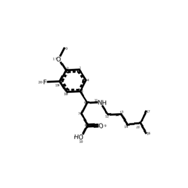 COc1ccc(C(CC(=O)O)NCCCC(C)C)cc1F